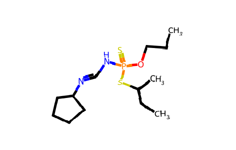 CCCOP(=S)(NC=NC1CCCC1)SC(C)CC